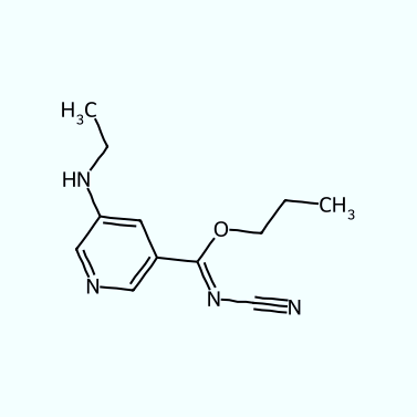 CCCOC(=NC#N)c1cncc(NCC)c1